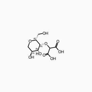 O=C(O)C(O[C@@H]1[C@H](O)[C@@H](O)CO[C@@H]1CO)C(=O)O